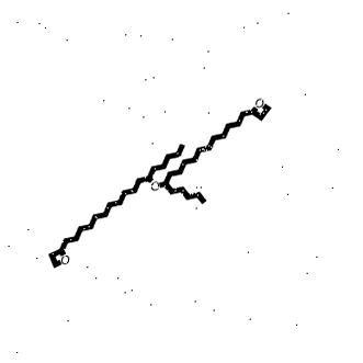 CCCCCC(CCCCCCCCCCCC1CCO1)OC(CCCCC)CCCCCCCCCCCC1CCO1